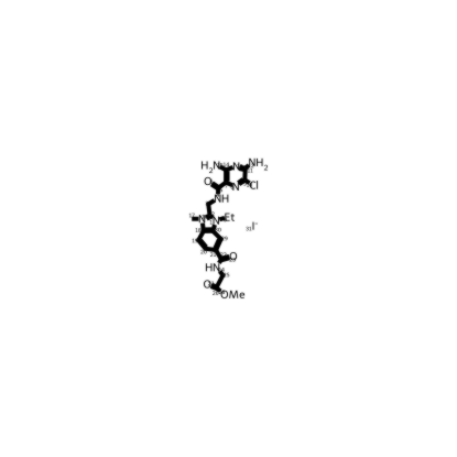 CCn1c(CNC(=O)c2nc(Cl)c(N)nc2N)[n+](C)c2ccc(C(=O)NCC(=O)OC)cc21.[I-]